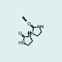 C=C.O=C1NCCN1.O=C1NCCN1